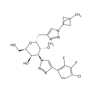 CO[C@@H]1[C@@H](n2cc(-c3ccc(Cl)c(F)c3F)nn2)[C@@H](O)[C@@H](CO)O[C@@H]1Cc1cn(C23CC(C)(C2)C3)nn1